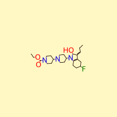 CC/C=C1/C2=C(CCC(F)C2)N(C2CCN(C3CCN(C(=O)OCC)CC3)CC2)C1O